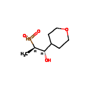 C[C@H]([C@@H](O)C1CCOCC1)[SH](=O)=O